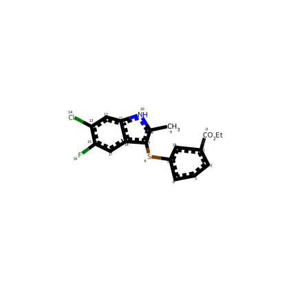 CCOC(=O)c1cccc(Sc2c(C)[nH]c3cc(Cl)c(F)cc23)c1